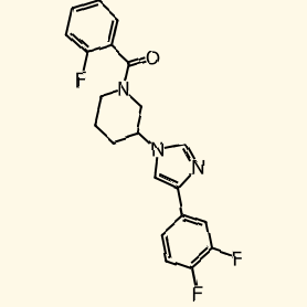 O=C(c1ccccc1F)N1CCCC(n2cnc(-c3ccc(F)c(F)c3)c2)C1